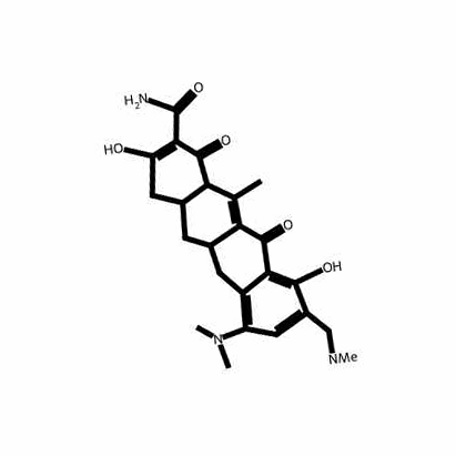 CNCc1cc(N(C)C)c2c(c1O)C(=O)C1=C(C)C3C(=O)C(C(N)=O)=C(O)CC3CC1C2